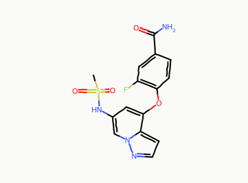 CS(=O)(=O)Nc1cc(Oc2ccc(C(N)=O)cc2F)c2ccnn2c1